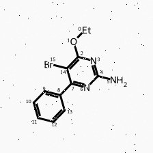 CCOc1nc(N)nc(-c2ccccc2)c1Br